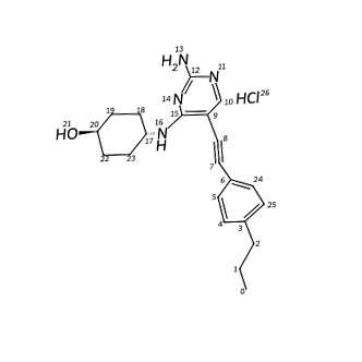 CCCc1ccc(C#Cc2cnc(N)nc2N[C@H]2CC[C@H](O)CC2)cc1.Cl